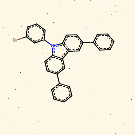 Brc1cccc(-n2c3ccc(-c4ccccc4)cc3c3cc(-c4ccccc4)ccc32)c1